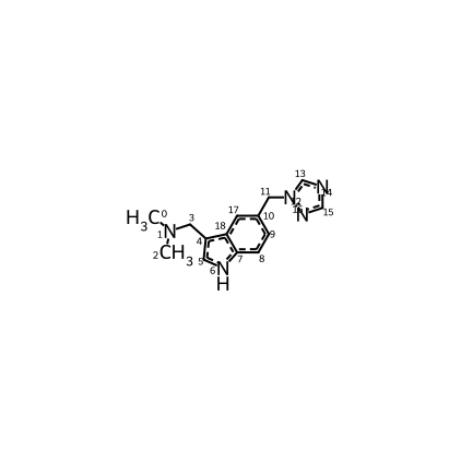 CN(C)Cc1c[nH]c2ccc(Cn3cncn3)cc12